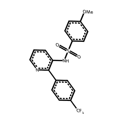 COc1ccc(S(=O)(=O)Nc2cccnc2-c2ccc(C(F)(F)F)cc2)cc1